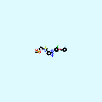 CCC(OC(C)S(=O)(=O)CC)c1nc(-c2ccc3ncnc(Nc4ccc(OCc5cccc(F)c5)c(Cl)c4)c3c2)cs1